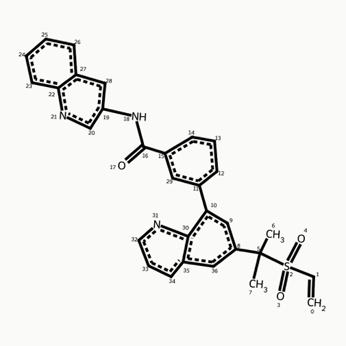 C=CS(=O)(=O)C(C)(C)c1cc(-c2cccc(C(=O)Nc3cnc4ccccc4c3)c2)c2ncccc2c1